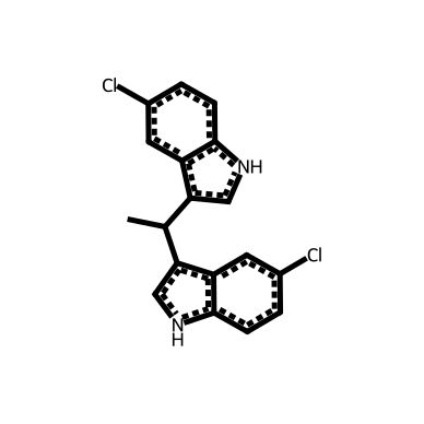 CC(c1c[nH]c2ccc(Cl)cc12)c1c[nH]c2ccc(Cl)cc12